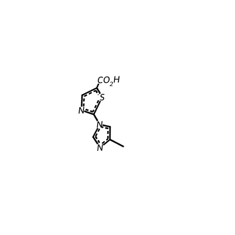 Cc1cn(-c2ncc(C(=O)O)s2)cn1